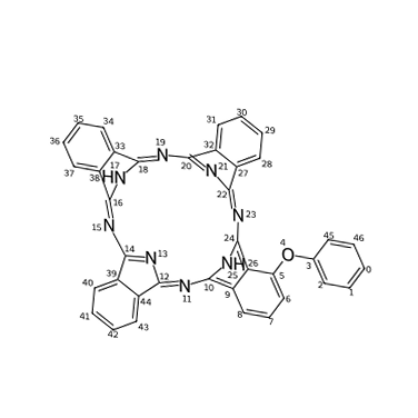 c1ccc(Oc2cccc3c4nc5nc(nc6[nH]c(nc7nc(nc([nH]4)c23)-c2ccccc2-7)c2ccccc62)-c2ccccc2-5)cc1